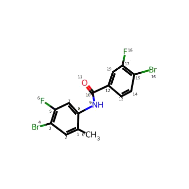 Cc1cc(Br)c(F)cc1NC(=O)c1ccc(Br)c(F)c1